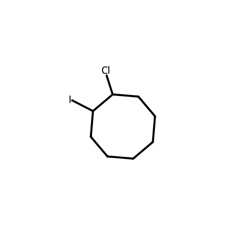 ClC1CCCCCCC1I